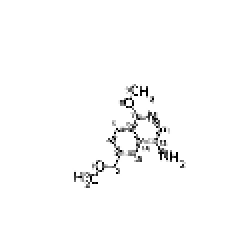 COCc1ccc2c(OC)ncc(N)c2c1